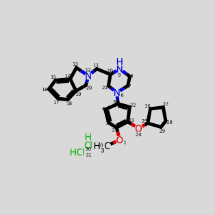 COc1ccc(N2CCNC(CN3Cc4ccccc4C3)C2)cc1OC1CCCC1.Cl.Cl